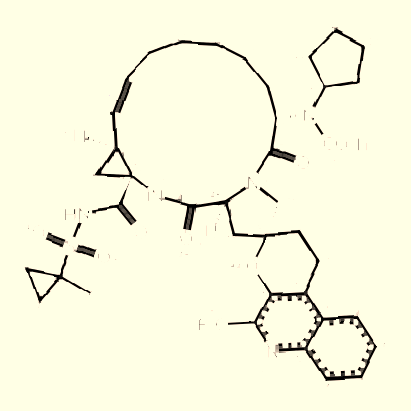 CC1(S(=O)(=O)NC(=O)[C@@]23C[C@H]2/C=C\CCCCC[C@H](N(C(=O)O)C2CCCC2)C(=O)N2C[C@@]4(CCc5c(c(C(F)(F)F)nc6ccccc56)O4)C[C@H]2C(=O)N3)CC1